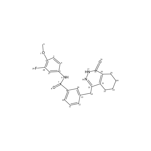 COc1ccc(NC(=O)c2cccc(Cc3n[nH]c(=O)c4c3CCCC4)c2)cc1F